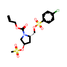 C=CCOC(=O)N1C[C@H](OS(C)(=O)=O)C[C@H]1COS(=O)(=O)c1ccc(Cl)cc1